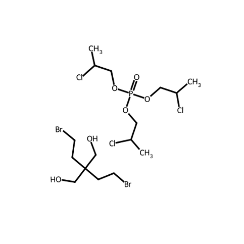 CC(Cl)COP(=O)(OCC(C)Cl)OCC(C)Cl.OCC(CO)(CCBr)CCBr